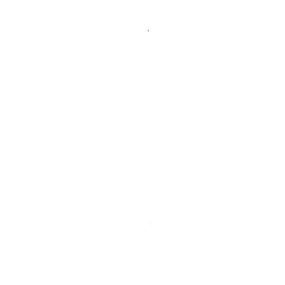 CCCC1CCC(C2CCC(C(=O)Oc3ccc(CCC(F)(F)C(F)(F)C(F)(F)F)cc3)CC2)CC1